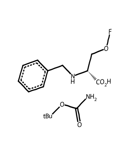 CC(C)(C)OC(N)=O.O=C(O)[C@@H](COF)NCc1ccccc1